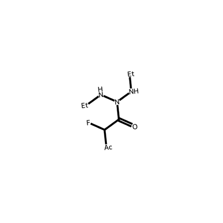 CCNN(NCC)C(=O)C(F)C(C)=O